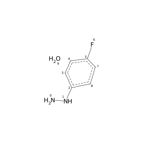 NNc1ccc(F)cc1.O